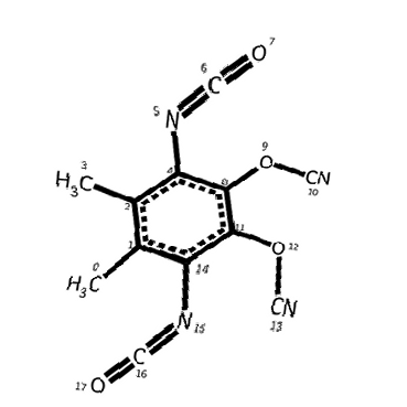 Cc1c(C)c(N=C=O)c(OC#N)c(OC#N)c1N=C=O